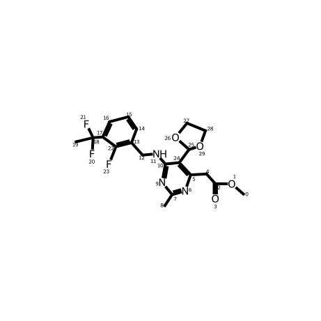 COC(=O)Cc1nc(C)nc(NCc2cccc(C(C)(F)F)c2F)c1C1OCCO1